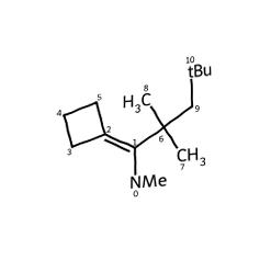 CNC(=C1CCC1)C(C)(C)CC(C)(C)C